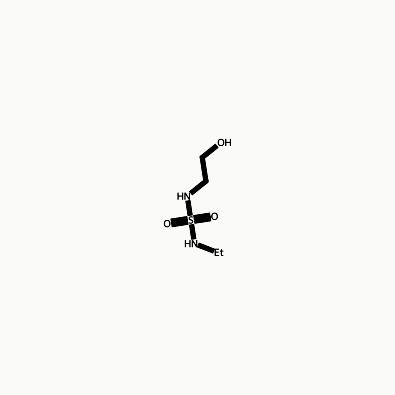 CCNS(=O)(=O)NCCO